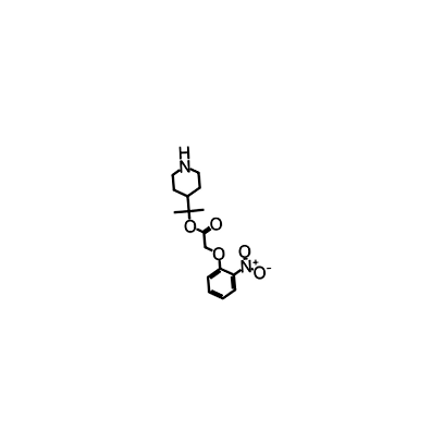 CC(C)(OC(=O)COc1ccccc1[N+](=O)[O-])C1CCNCC1